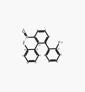 O=Pc1cccc(-c2ccccc2F)c1-c1ccccc1F